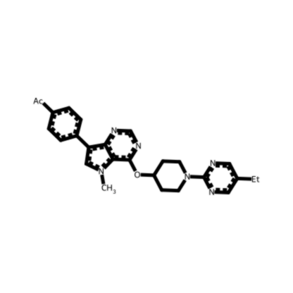 CCc1cnc(N2CCC(Oc3ncnc4c(-c5ccc(C(C)=O)cc5)cn(C)c34)CC2)nc1